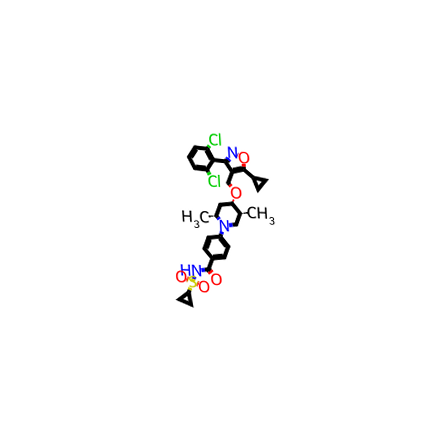 C[C@@H]1CN(c2ccc(C(=O)NS(=O)(=O)C3CC3)cc2)[C@H](C)C[C@@H]1OCc1c(-c2c(Cl)cccc2Cl)noc1C1CC1